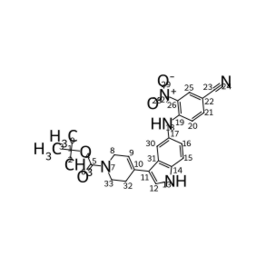 CC(C)(C)OC(=O)N1CC=C(c2c[nH]c3ccc(Nc4ccc(C#N)cc4[N+](=O)[O-])cc23)CC1